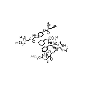 CC(C)C[C@H](N)C(=O)Oc1ccc(C[C@H](N)C(=O)OC[C@@H](N)C(=O)O)cc1.N=C(N)NCCC[C@@H](N)C(=O)OC(=O)C[C@H](N)C(=O)O.N[C@@H](CC1CCCCC1)C(=O)O.N[C@@H](Cc1ccccc1)C(=O)O